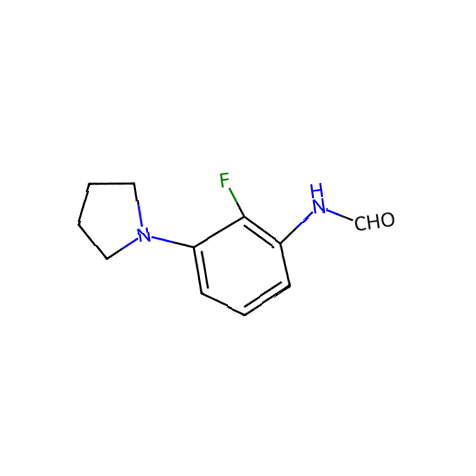 O=CNc1cccc(N2CCCC2)c1F